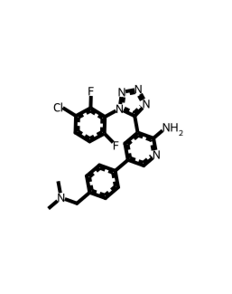 CN(C)Cc1ccc(-c2cnc(N)c(-c3nnnn3-c3c(F)ccc(Cl)c3F)c2)cc1